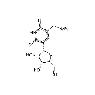 CNCc1cn([C@@H]2O[C@H](CO)[C@H](O)[C@@H]2O)c(=S)[nH]c1=O